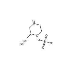 CC1CNCCO1.O=S(=O)([O-])[O-].[Na+].[Na+]